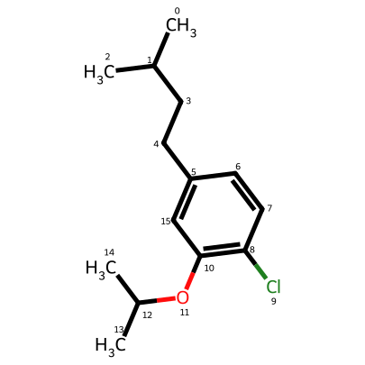 CC(C)CCc1ccc(Cl)c(OC(C)C)c1